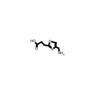 NCc1coc(CCC(=O)O)n1